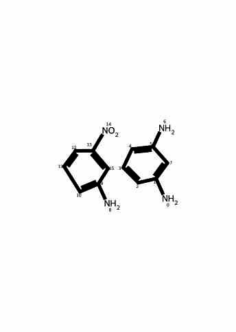 Nc1cccc(N)c1.Nc1cccc([N+](=O)[O-])c1